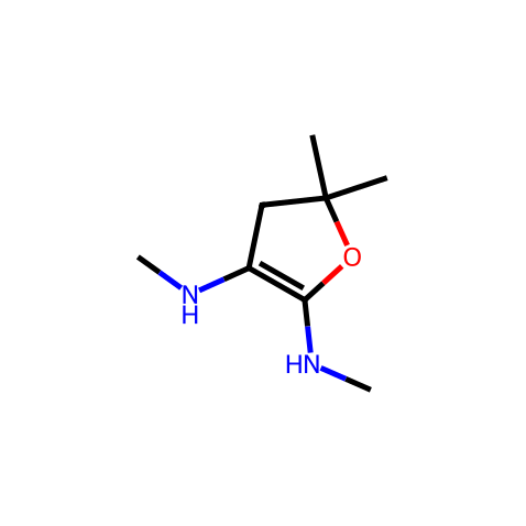 CNC1=C(NC)OC(C)(C)C1